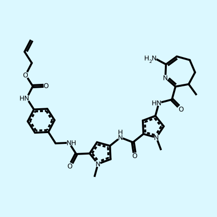 C=CCOC(=O)Nc1ccc(CNC(=O)c2cc(NC(=O)c3cc(NC(=O)C4=NC(N)=CCCC4C)cn3C)cn2C)cc1